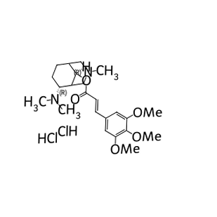 COc1cc(C=CC(=O)O[C@@H]2C3CC[C@@H](N(C)C)C2CN(C)C3)cc(OC)c1OC.Cl.Cl